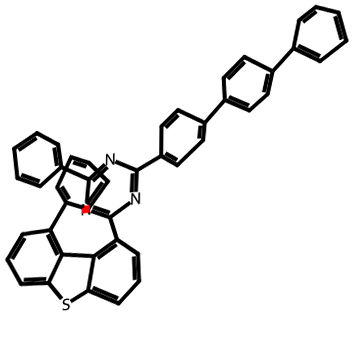 c1ccc(-c2ccc(-c3ccc(-c4nc(-c5ccccc5)nc(-c5cccc6sc7cccc(-c8ccccc8)c7c56)n4)cc3)cc2)cc1